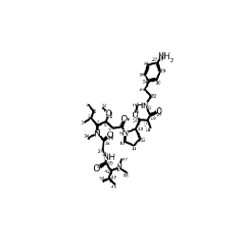 CCC(C)C(C(CC(=O)N1CCCC1C(OC)C(C)C(=O)NCCc1ccc(N)cc1)OC)N(C)C(=O)CNC(=O)C(C(C)C)N(C)C